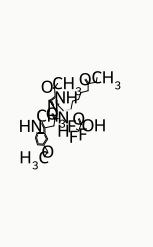 CCC(=O)CCCCC[C@H](NC(=O)Cc1c(C)[nH]c2ccc(OC)cc12)c1ncc(C(C)=O)[nH]1.O=C(O)C(F)(F)F